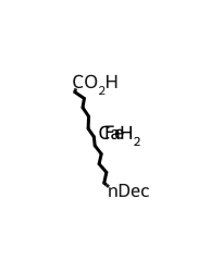 CCCCCCCCCCCCCCCCCCCCCC(=O)O.[CaH2].[Fe]